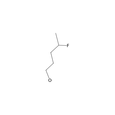 CC(F)CCC[O]